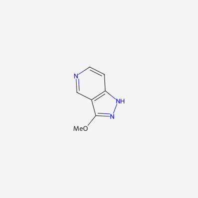 COc1n[nH]c2ccncc12